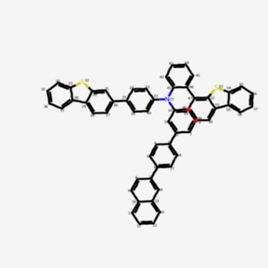 c1cc(-c2ccc(-c3ccc4ccccc4c3)cc2)cc(N(c2ccc(-c3ccc4c(c3)sc3ccccc34)cc2)c2ccccc2-c2cccc3c2sc2ccccc23)c1